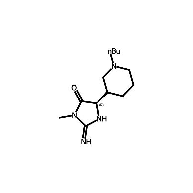 CCCCN1CCCC([C@H]2NC(=N)N(C)C2=O)C1